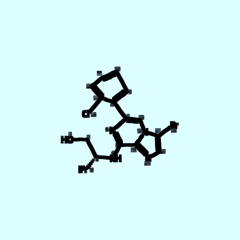 CC(C)[C@H](CO)Nc1nc(-c2ccccc2Cl)cn2c(Br)cnc12